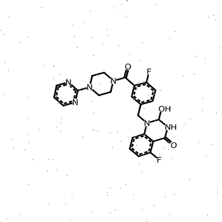 O=C1NC(O)N(Cc2ccc(F)c(C(=O)N3CCN(c4ncccn4)CC3)c2)c2cccc(F)c21